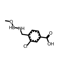 COBNCc1ccc(C(=O)O)cc1Cl